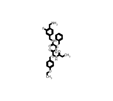 CCOc1ccc(C[C@@H](NC(=O)CC)C(=O)N[C@@H](Cc2ccccc2)C(=O)NCc2ccc(CN)c(F)c2)cc1